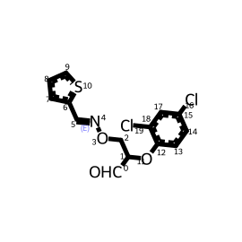 O=CC(CO/N=C/c1cccs1)Oc1ccc(Cl)cc1Cl